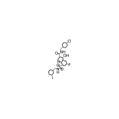 O=C(NCc1ccc(Cl)cc1)c1cnc2c(S(=O)(=O)NCc3cccc(I)c3)cc(F)cc2c1O